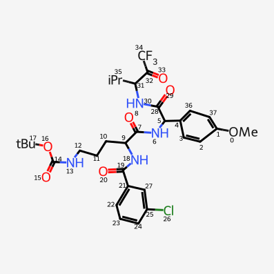 COc1ccc(C(NC(=O)C(CCCNC(=O)OC(C)(C)C)NC(=O)c2cccc(Cl)c2)C(=O)NC(C(=O)C(F)(F)F)C(C)C)cc1